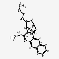 COCOC1CC2CC(c3ccc4ccccc4c3)C(C(=O)OC)C1N2C